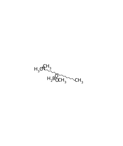 BC(=O)OC.CCCCCCCCCCCCCCCCCCN(C)C